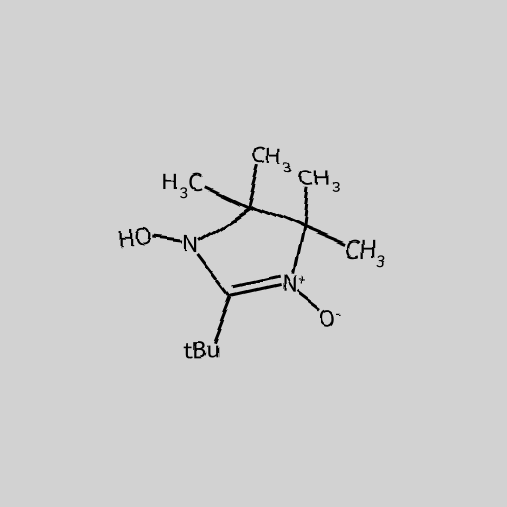 CC(C)(C)C1=[N+]([O-])C(C)(C)C(C)(C)N1O